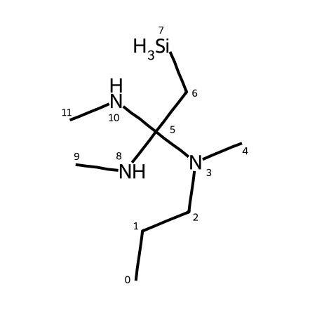 CCCN(C)C(C[SiH3])(NC)NC